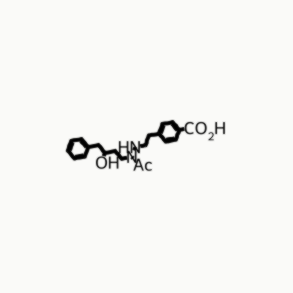 CC(=O)N(CCC(O)Cc1ccccc1)NCCc1ccc(C(=O)O)cc1